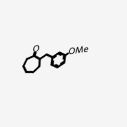 COc1cccc(CC2CCCCCC2=O)c1